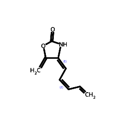 C=C/C=C\C=c1\[nH]c(=O)oc1=C